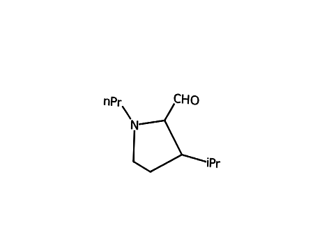 CCCN1CCC(C(C)C)C1C=O